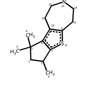 CC1CC(C)(C)c2c1sc1c2CCNCC1